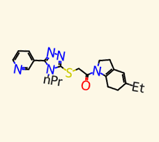 CCCn1c(SCC(=O)N2CCC3=C2CCC(CC)=C3)nnc1-c1cccnc1